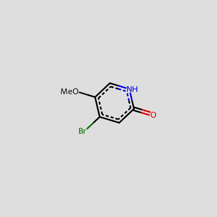 COc1c[nH]c(=O)cc1Br